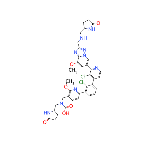 COc1nc(-c2cccc(-c3ccnc(-c4cc(OC)c5nc(CNCC6CCC(=O)N6)nn5c4)c3Cl)c2Cl)ccc1CN(CC1CCC(=O)N1)C(=O)O